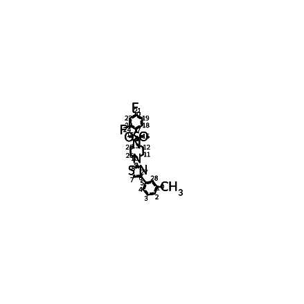 Cc1cccc(-c2csc(N3CCN(S(=O)(=O)c4ccc(F)cc4F)CC3)n2)c1